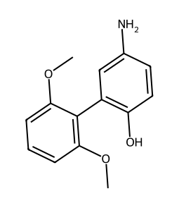 COc1cccc(OC)c1-c1cc(N)ccc1O